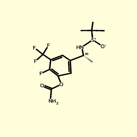 C[C@@H](N[S+]([O-])C(C)(C)C)c1cc(OC(N)=O)c(F)c(C(F)(F)F)c1